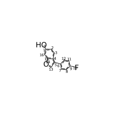 Oc1ccc2c(-c3ccc(F)cc3)coc2c1